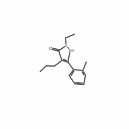 CCCc1c(-c2ccccc2C)[nH]n(CC)c1=O